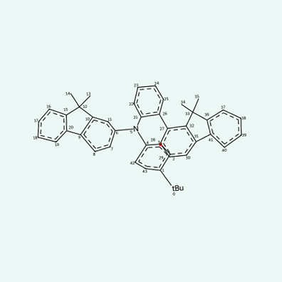 CC(C)(C)c1ccc(N(c2ccc3c(c2)C(C)(C)c2ccccc2-3)c2ccccc2-c2cccc3c2C(C)(C)c2ccccc2-3)cc1